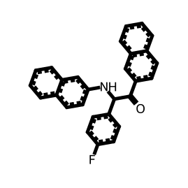 O=C(c1ccc2ccccc2c1)C(Nc1ccc2ccccc2c1)c1ccc(F)cc1